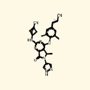 Cc1cc(/C=C/C#N)cc(C)c1Oc1nc(NC23CC(C#N)(C2)C3)nc2c1C(C)N(c1cn[nH]c1)C2=O